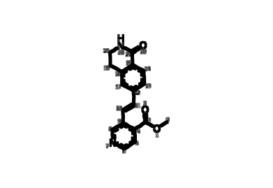 COC(=O)c1ccncc1C=Cc1ccc2c(c1)CCNC2=O